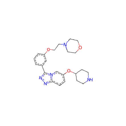 c1cc(OCCN2CCOCC2)cc(-c2nnc3ccc(OC4CCNCC4)cn23)c1